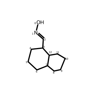 ON=CC1CCCC2CCCCC12